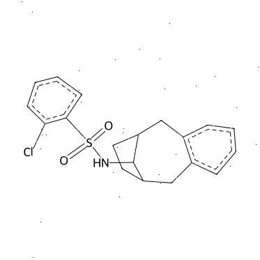 O=S(=O)(NC1C2CCC1Cc1ccccc1C2)c1ccccc1Cl